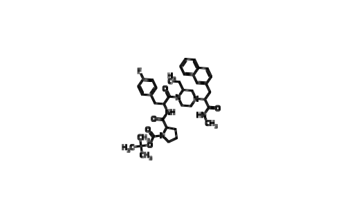 CCC1CN(C(Cc2ccc3ccccc3c2)C(=O)NC)CCN1C(=O)C(Cc1ccc(F)cc1)NC(=O)C1CCCN1C(=O)OC(C)(C)C